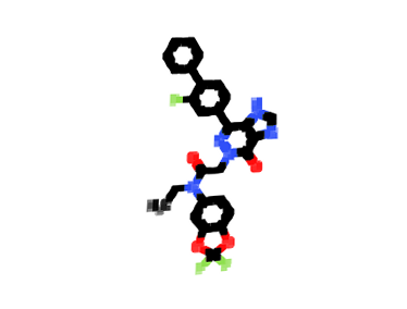 CCN(C(=O)Cn1nc(-c2ccc(-c3ccccc3)c(F)c2)c2[nH]cnc2c1=O)c1ccc2c(c1)OC(F)(F)O2